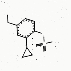 O=C(O)Cc1ccc(OS(=O)(=O)C(F)(F)F)c(C2CC2)c1